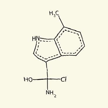 Cc1cccc2c(C(N)(O)Cl)c[nH]c12